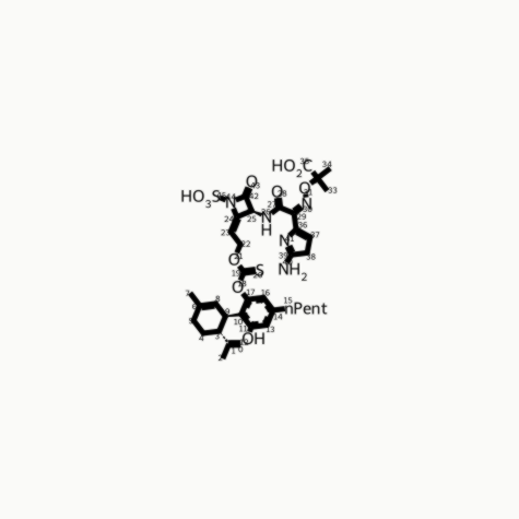 C=C(C)[C@@H]1CCC(C)=C[C@H]1c1c(O)cc(CCCCC)cc1OC(=S)OC/C=C1\[C@H](NC(=O)/C(=N\OC(C)(C)C(=O)O)C2=CCC(N)=N2)C(=O)N1S(=O)(=O)O